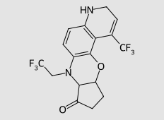 O=C1CCC2Oc3c(ccc4c3C(C(F)(F)F)=CCN4)N(CC(F)(F)F)C12